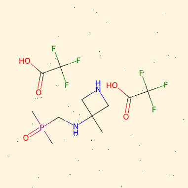 CC1(NCP(C)(C)=O)CNC1.O=C(O)C(F)(F)F.O=C(O)C(F)(F)F